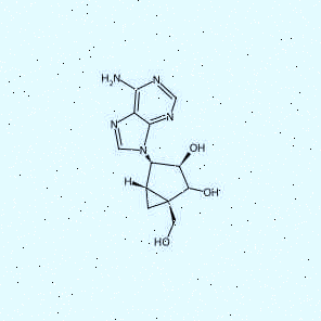 Nc1ncnc2c1ncn2[C@@H]1[C@H]2C[C@@]2(CO)C(O)[C@@H]1O